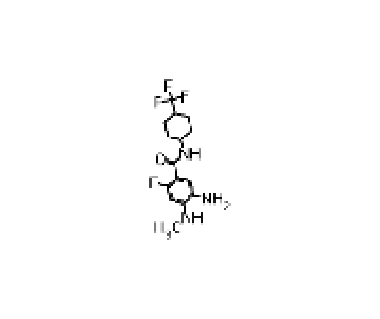 CNc1cc(F)c(C(=O)NC2CCC(C(F)(F)F)CC2)cc1N